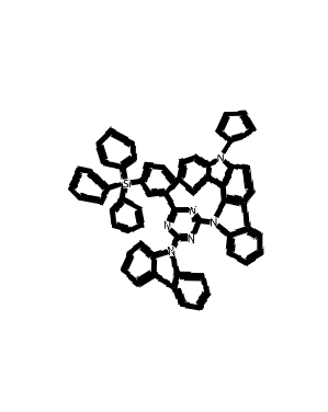 c1ccc(-n2c3ccccc3c3c2ccc2c4ccccc4n(-c4nc(-c5cccc([Si](c6ccccc6)(c6ccccc6)c6ccccc6)c5)nc(-n5c6ccccc6c6ccccc65)n4)c23)cc1